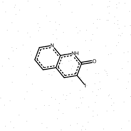 O=c1[nH]c2ncccc2cc1I